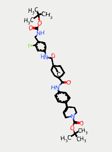 CC(C)(C)OC(=O)NCc1ccc(NC(=O)C23CCC(C(=O)Nc4ccc(C5=CCN(C(=O)OC(C)(C)C)CC5)cc4)(CC2)CC3)cc1F